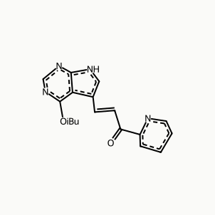 CC(C)COc1ncnc2[nH]cc(C=CC(=O)c3ccccn3)c12